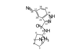 CN1C2CCC1CC(NC(=O)c1n[nH]c3ccc(C#N)cc13)C2